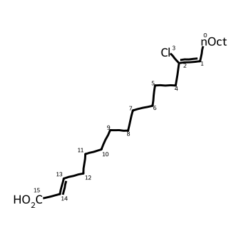 CCCCCCCCC=C(Cl)CCCCCCCCCC=CC(=O)O